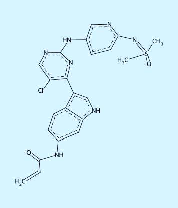 C=CC(=O)Nc1ccc2c(-c3nc(Nc4ccc(N=S(C)(C)=O)nc4)ncc3Cl)c[nH]c2c1